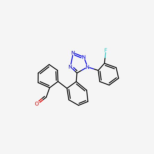 O=Cc1ccccc1-c1ccccc1-c1nnnn1-c1ccccc1F